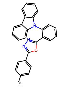 CC(C)c1ccc(-c2nnc(-c3ccccc3-n3c4ccccc4c4ccccc43)o2)cc1